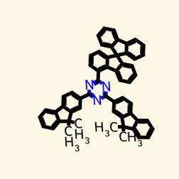 CC1(C)c2ccccc2-c2ccc(-c3nc(-c4ccc5c(c4)C(C)(C)c4ccccc4-5)nc(-c4cccc5c4-c4ccccc4C54c5ccccc5-c5ccccc54)n3)cc21